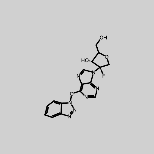 OCC1OC[C@](F)(n2cnc3c(On4nnc5ccccc54)ncnc32)[C@@H]1O